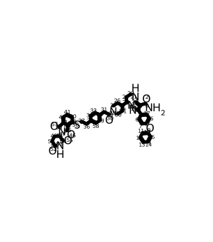 NC(=O)c1c(-c2ccc(Oc3ccccc3)cc2)nn2c1NCCC2C1CCN(C(=O)Cc2ccc(CCSc3cccc4c3C(=O)N(C3CCC(=O)NC3=O)C4=O)cc2)CC1